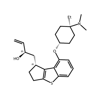 C=C[C@H](O)C[C@H]1CCc2sc3cccc(O[C@H]4CC[C@](CC)(N(C)C)CC4)c3c21